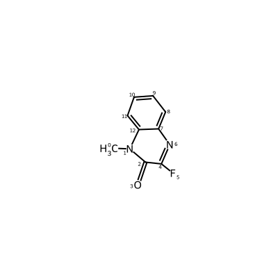 Cn1c(=O)c(F)nc2ccccc21